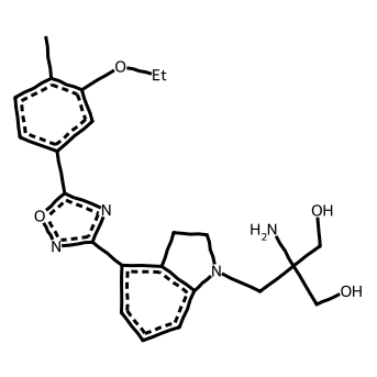 CCOc1cc(-c2nc(-c3cccc4c3CCN4CC(N)(CO)CO)no2)ccc1C